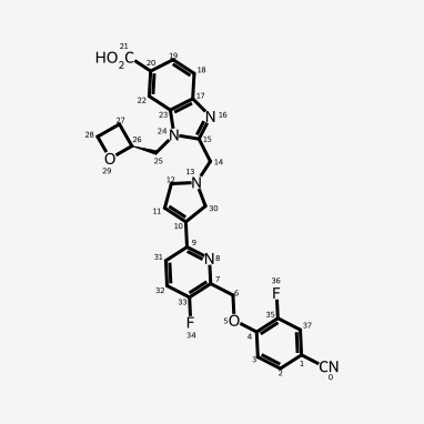 N#Cc1ccc(OCc2nc(C3=CCN(Cc4nc5ccc(C(=O)O)cc5n4C[C@@H]4CCO4)C3)ccc2F)c(F)c1